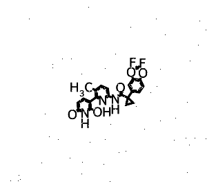 Cc1ccc(NC(=O)C2(c3ccc4c(c3)OC(F)(F)O4)CC2)nc1-c1ccc(=O)[nH]c1O